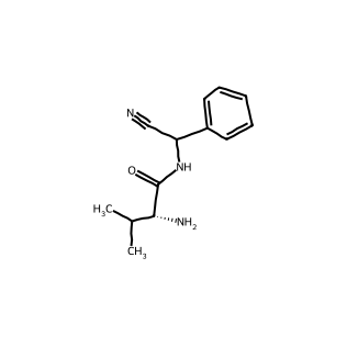 CC(C)[C@@H](N)C(=O)NC(C#N)c1ccccc1